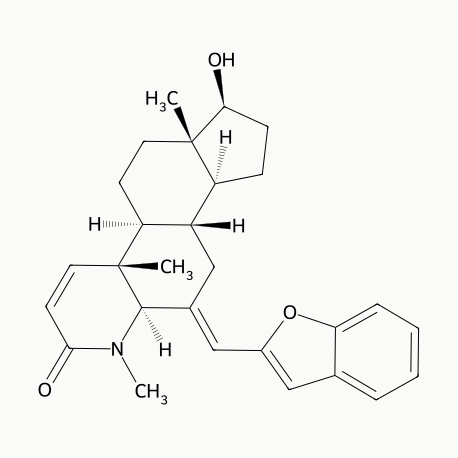 CN1C(=O)C=C[C@]2(C)[C@H]3CC[C@]4(C)[C@@H](O)CC[C@H]4[C@@H]3C/C(=C\c3cc4ccccc4o3)[C@@H]12